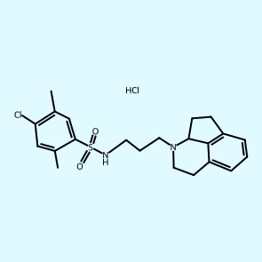 Cc1cc(S(=O)(=O)NCCCN2CCc3cccc4c3C2CC4)c(C)cc1Cl.Cl